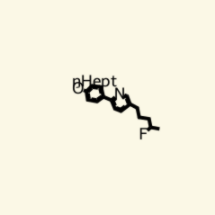 CCCCCCCOc1ccc(-c2ccc(CCCC(C)F)cn2)cc1